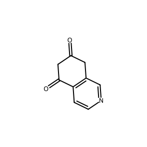 O=C1CC(=O)c2ccncc2C1